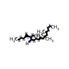 C=C(C/C=C\C)CC(C)(C)CC=CC/C=C(C#N)\C(=C/C)C1CC1CCCC